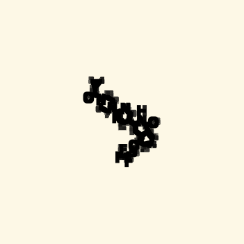 O=C(C1CC1)N1CCN(c2ncc(-c3cc4c(OSC(F)(F)F)cccc4c(=O)[nH]3)cn2)CC1